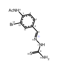 CC(=O)Nc1ccc(/C=N/NC(N)=S)cc1Br